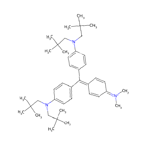 C[N+](C)=C1C=CC(=C(c2ccc(N(CC(C)(C)C)CC(C)(C)C)cc2)c2ccc(N(CC(C)(C)C)CC(C)(C)C)cc2)C=C1